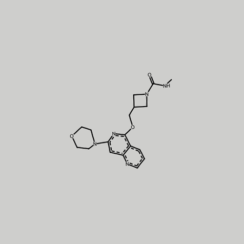 CNC(=O)N1CC(COc2nc(N3CCOCC3)cc3ncccc23)C1